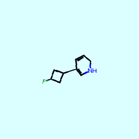 FC1CC(C2=CNCC=C2)C1